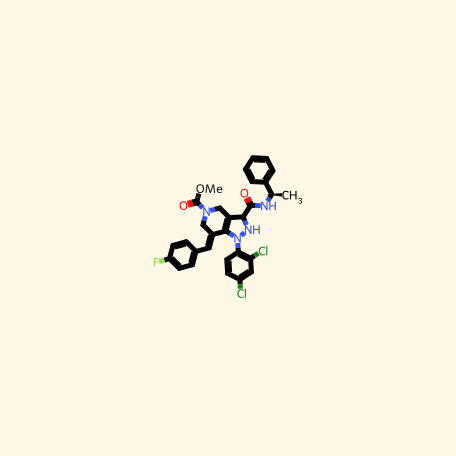 COC(=O)N1CC2=C(/C(=C/c3ccc(F)cc3)C1)N(c1ccc(Cl)cc1Cl)NC2C(=O)N[C@H](C)c1ccccc1